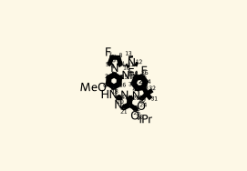 COc1cc(N2C[C@@H](F)C[C@@H]2CN(C)C)c(N)cc1Nc1ncc(C(=O)OC(C)C)c(N2CC(C)(C)c3cc(F)c(F)cc32)n1